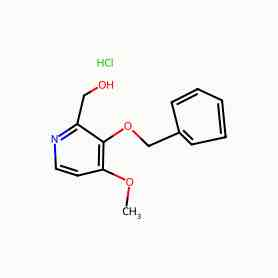 COc1ccnc(CO)c1OCc1ccccc1.Cl